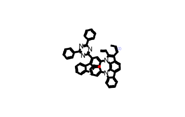 C=Cc1c(/C=C\C)c2ccc3c4ccccc4n(-c4ccccc4)c3c2n1-c1cc(-c2nc(-c3ccccc3)nc(-c3ccccc3)n2)c2c(c1)sc1ccccc12